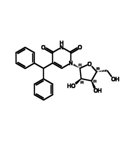 O=c1[nH]c(=O)n([C@@H]2O[C@H](CO)[C@@H](O)[C@H]2O)cc1C(c1ccccc1)c1ccccc1